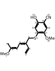 C=C/C(=C\C=C(/C)OC)CSc1cc(O)c(C#N)cc1OC